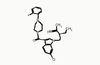 CC[C@@H](Cn1cc(C(=O)N2CCN(c3ccccc3F)CC2)c2ccc(Cl)cc21)C(C)=N